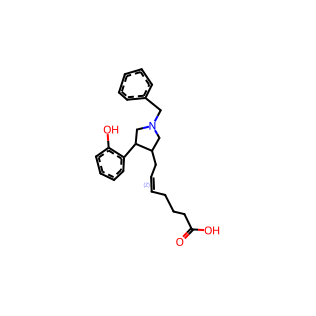 O=C(O)CCC/C=C\CC1CN(Cc2ccccc2)CC1c1ccccc1O